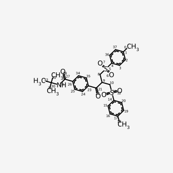 Cc1ccc(S(=O)(=O)CC(CS(=O)(=O)c2ccc(C)cc2)C(=O)c2ccc(C(=O)NC(C)(C)C)cc2)cc1